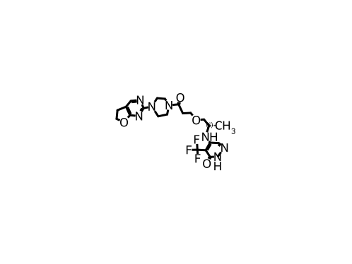 C[C@@H](COCCC(=O)N1CCN(c2ncc3c(n2)OCC3)CC1)Nc1cn[nH]c(=O)c1C(F)(F)F